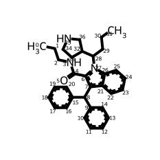 CCCNC(=O)c1c(C(c2ccccc2)c2ccccc2)c2ccccc2n1C(CCC)C1CCNC1